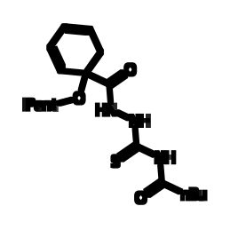 CCCCC(=O)NC(=S)NNC(=O)C1(OC(C)CCC)C=CC=CC1